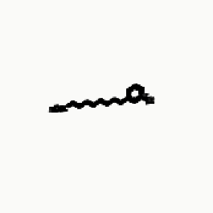 CCCCCCCCCCCCCCCCCCc1ccc[n+](CC)c1